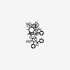 CC(=O)O[C@@]12CO[C@@H]1C[C@H](O)[C@@]1(C)C(=O)[C@H](C)C3=C(C)C(OC(=O)[C@H](O)[C@@H](NC(=O)c4ccccc4)c4ccccc4)C[C@@](O)([C@@H](OC(=O)c4ccccc4)[C@H]21)C3(C)C